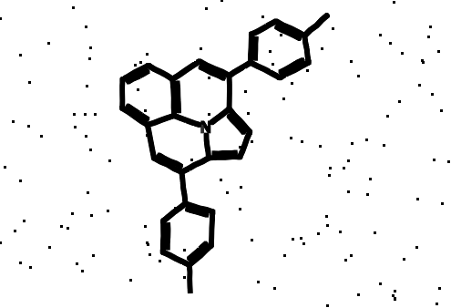 Cc1ccc(-c2cc3cccc4cc(-c5ccc(C)cc5)c5ccc2n5c34)cc1